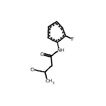 CC(Cl)CC(=O)Nc1ccccc1F